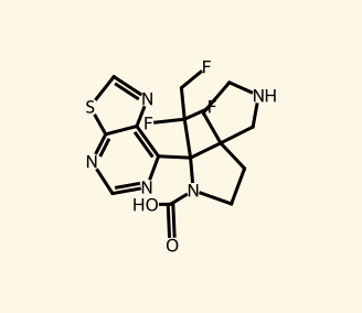 O=C(O)N1CCC2(CCNC2)C1(c1ncnc2scnc12)C(F)(F)CF